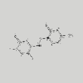 Cc1cn(C)c(=O)nc1NCn1ccc(N)nc1=O